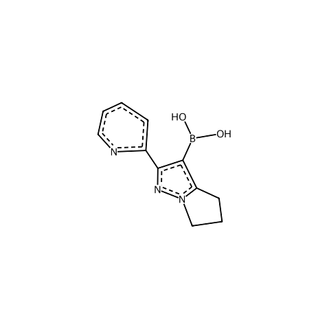 OB(O)c1c(-c2ccccn2)nn2c1CCC2